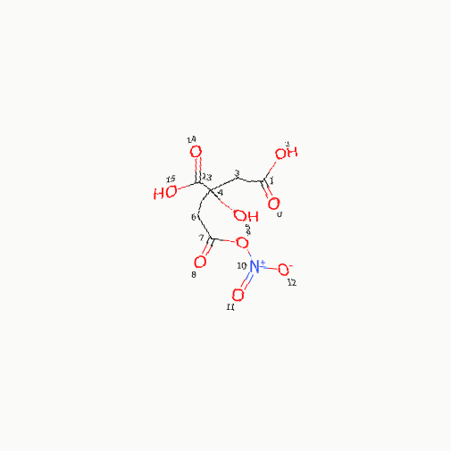 O=C(O)CC(O)(CC(=O)O[N+](=O)[O-])C(=O)O